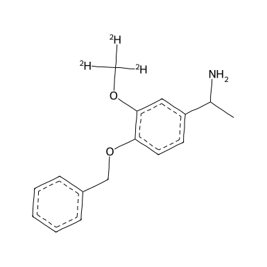 [2H]C([2H])([2H])Oc1cc(C(C)N)ccc1OCc1ccccc1